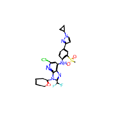 CS(=O)(=O)c1cc(-c2ccn(C3CC3)n2)ccc1Nc1cc(Cl)nc2c1nc(C(F)F)n2C1CCCCO1